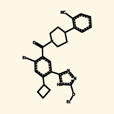 CCOc1nnc(-c2cc(C(=O)N3CCC(c4ccccc4C#N)CC3)c(CC)cc2C2CCC2)[nH]1